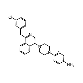 Nc1ccc(N2CCN(c3cnc(Cc4cccc(Cl)c4)c4ccccc34)CC2)nc1